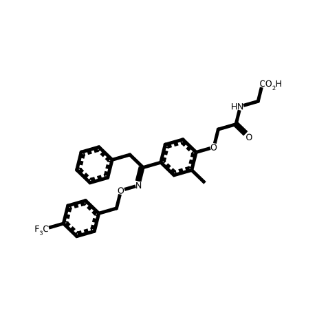 Cc1cc(C(Cc2ccccc2)=NOCc2ccc(C(F)(F)F)cc2)ccc1OCC(=O)NCC(=O)O